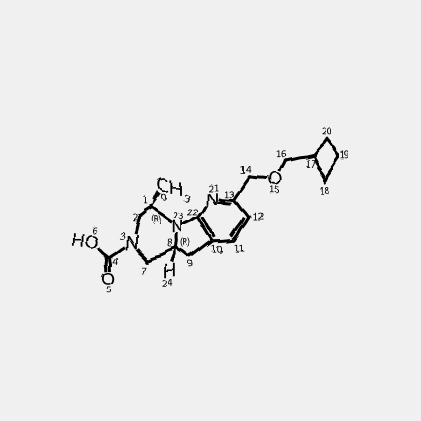 C[C@@H]1CN(C(=O)O)C[C@H]2Cc3ccc(COCC4CCC4)nc3N21